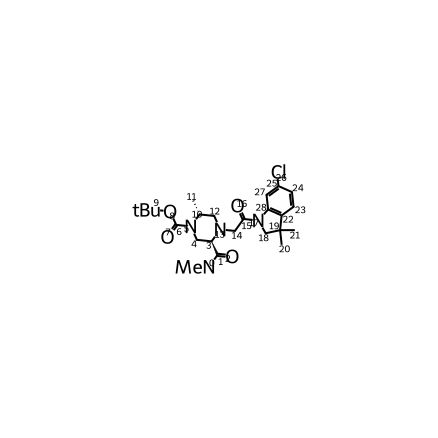 CNC(=O)[C@H]1CN(C(=O)OC(C)(C)C)[C@H](C)CN1CC(=O)N1CC(C)(C)c2ccc(Cl)cc21